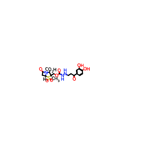 C[C@]1(COC(=O)NNCCC(=O)c2ccc(O)c(O)c2)[C@H](C(=O)O)N2C(=O)C[C@H]2S1(=O)=O